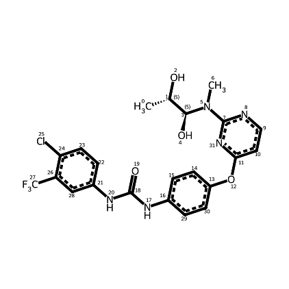 C[C@H](O)[C@H](O)N(C)c1nccc(Oc2ccc(NC(=O)Nc3ccc(Cl)c(C(F)(F)F)c3)cc2)n1